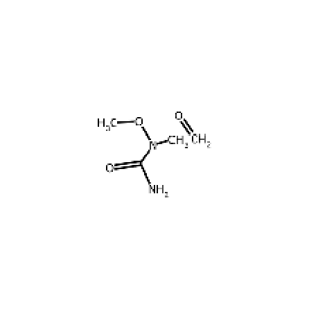 C=O.CON(C)C(N)=O